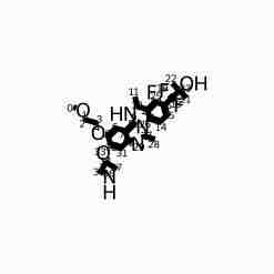 COCCOc1cc2c(NC(C)c3cccc(C(F)(F)C(C)(C)O)c3F)nc(C)nc2cc1OC1CNC1